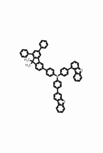 CC1(C)c2ccc(-c3ccc(N(c4ccc(-c5ccc6c(c5)sc5ccccc56)cc4)c4ccc(-c5cccc6oc7ccccc7c56)cc4)cc3)cc2-c2cc(-c3ccccc3)cc(-c3ccccc3)c21